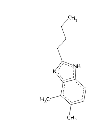 CCCCc1nc2c(C)c(C)ccc2[nH]1